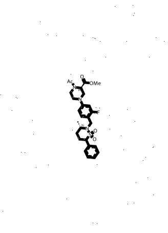 COC(=O)[C@H]1CN(c2ccc(CN3[C@@H](C)CCC(c4ccccc4)S3(=O)=O)c(F)c2)CCN1C(C)=O